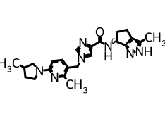 Cc1nc(N2CCC(C)C2)ccc1Cn1cnc(C(=O)N[C@@H]2CCc3c2n[nH]c3C)c1